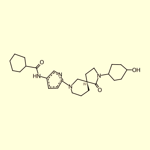 O=C(Nc1ccc(N2CCC[C@]3(CCN(C4CCC(O)CC4)C3=O)C2)nc1)C1CCCCC1